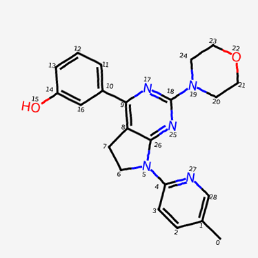 Cc1ccc(N2CCc3c(-c4cccc(O)c4)nc(N4CCOCC4)nc32)nc1